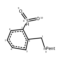 CCCCCCc1ccccc1[SH](=O)=O